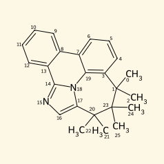 CC1(C)c2cccc3c4ccccc4c4ncc(n4c23)C(C)(C)C1(C)C